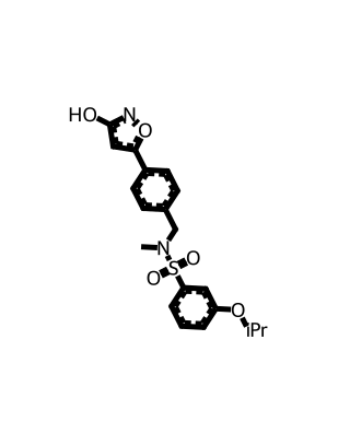 CC(C)Oc1cccc(S(=O)(=O)N(C)Cc2ccc(-c3cc(O)no3)cc2)c1